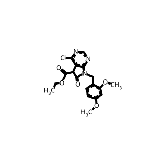 CCOC(=O)C1C(=O)N(Cc2ccc(OC)cc2OC)c2ncnc(Cl)c21